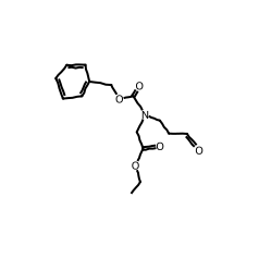 CCOC(=O)CN(CCC=O)C(=O)OCc1ccccc1